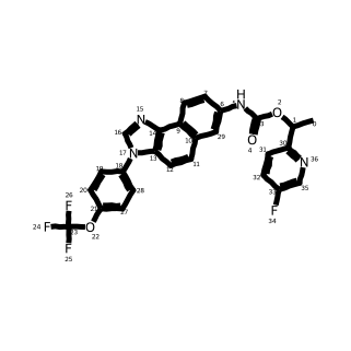 CC(OC(=O)Nc1ccc2c(ccc3c2ncn3-c2ccc(OC(F)(F)F)cc2)c1)c1ccc(F)cn1